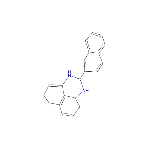 C1=CC2=C3C(=CCC2)NC(c2ccc4ccccc4c2)NC3C1